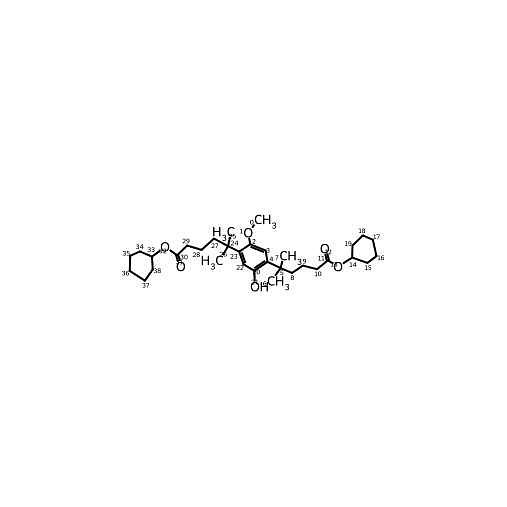 COc1cc(C(C)(C)CCCC(=O)OC2CCCCC2)c(O)cc1C(C)(C)CCCC(=O)OC1CCCCC1